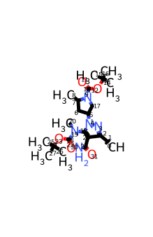 C#Cc1nn(C2CC(C)N(C(=O)OC(C)(C)C)C2)c(N(C)C(=O)OC(C)(C)C)c1C(N)=O